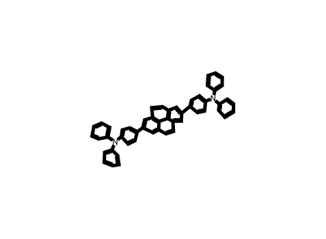 c1ccc(N(c2ccccc2)c2ccc(-c3cc4ccc5cc(-c6ccc(N(c7ccccc7)c7ccccc7)cc6)cc6ccc(c3)c4c56)cc2)cc1